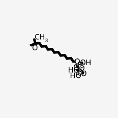 CCC1(CCCCCCCCCCCCOP(=O)(O)OP(=O)(O)O)CO1